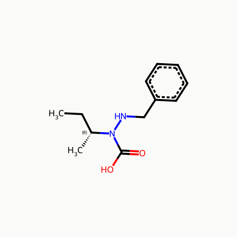 CC[C@@H](C)N(NCc1ccccc1)C(=O)O